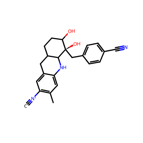 [C-]#[N+]c1cc2c(cc1C)NC1C(CCC(O)[C@]1(O)Cc1ccc(C#N)cc1)C2